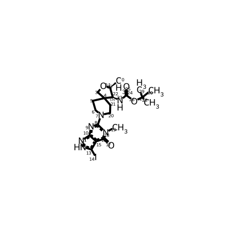 C[C@@H]1OCC2(CCN(c3nc4n[nH]c(I)c4c(=O)n3C)CC2)[C@@H]1NC(=O)OC(C)(C)C